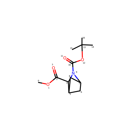 COC(=O)C1C2CC(C2)N1C(=O)OC(C)(C)C